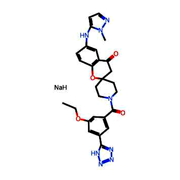 CCOc1cc(C(=O)N2CCC3(CC2)CC(=O)c2cc(Nc4ccnn4C)ccc2O3)cc(-c2nnn[nH]2)c1.[NaH]